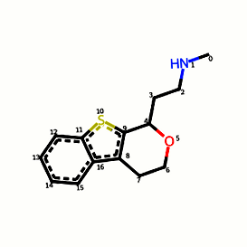 CNCCC1OCCc2c1sc1ccccc21